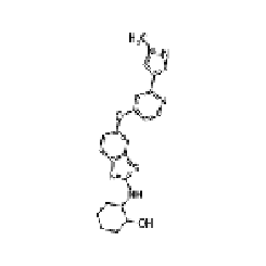 Cn1cc(-c2cc(Oc3ccc4nc(NC5CCCCC5O)sc4c3)ccn2)cn1